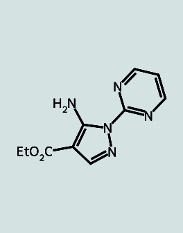 CCOC(=O)c1cnn(-c2ncccn2)c1N